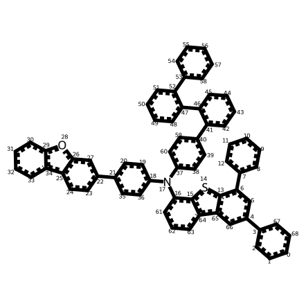 c1ccc(-c2cc(-c3ccccc3)c3sc4c(N(c5ccc(-c6ccc7c(c6)oc6ccccc67)cc5)c5ccc(-c6ccccc6-c6ccccc6-c6ccccc6)cc5)cccc4c3c2)cc1